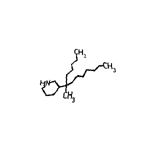 CCCCCCCC(C)(CCCCC)C1CCCNC1